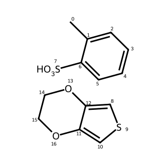 Cc1ccccc1S(=O)(=O)O.c1scc2c1OCCO2